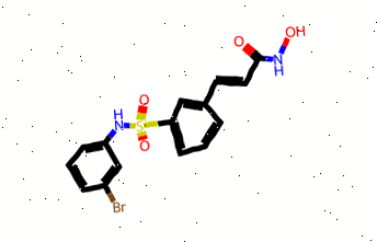 O=C(C=Cc1cccc(S(=O)(=O)Nc2cccc(Br)c2)c1)NO